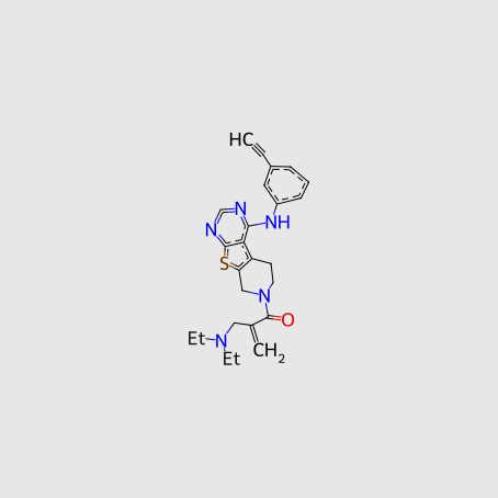 C#Cc1cccc(Nc2ncnc3sc4c(c23)CCN(C(=O)C(=C)CN(CC)CC)C4)c1